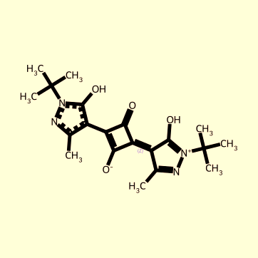 CC1=N[N+](C(C)(C)C)=C(O)/C1=C1\C(=O)C(c2c(C)nn(C(C)(C)C)c2O)=C1[O-]